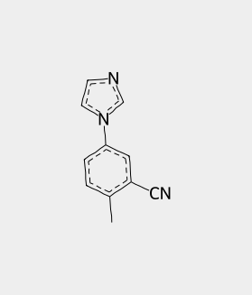 Cc1ccc(-n2ccnc2)cc1C#N